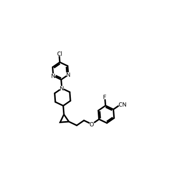 N#Cc1ccc(OCCC2CC2C2CCN(c3ncc(Cl)cn3)CC2)cc1F